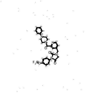 O=C(c1cc(CN2CC(=O)N(c3ccc(OC(F)(F)F)cc3)C2=O)ccn1)N1CCN(c2ccccc2)CC1